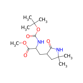 COC(=O)C(CC1CC(C)(C)NC1=O)NC(=O)OC(C)(C)C